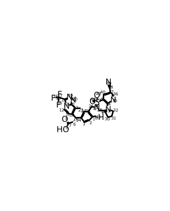 Cc1ccc([C@H](CC(=O)O)c2ccn3c(C(F)(F)F)nnc3c2C)cc1CN1C[C@@H]2CCCN2c2ncc(C#N)cc2S1(=O)=O